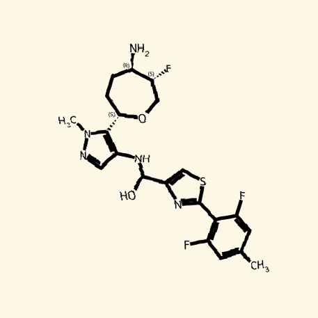 Cc1cc(F)c(-c2nc(C(O)Nc3cnn(C)c3[C@@H]3CC[C@@H](N)[C@H](F)CO3)cs2)c(F)c1